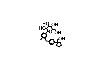 Cc1ccc([C@@H]2O[C@H](CO)[C@@H](O)[C@H](O)C2O)cc1Cc1ccc(C2(CO)CCCC2)cc1